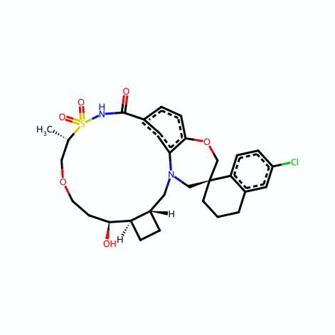 C[C@H]1COCC[C@H](O)[C@@H]2CC[C@H]2CN2C[C@@]3(CCCc4cc(Cl)ccc43)COc3ccc(cc32)C(=O)NS1(=O)=O